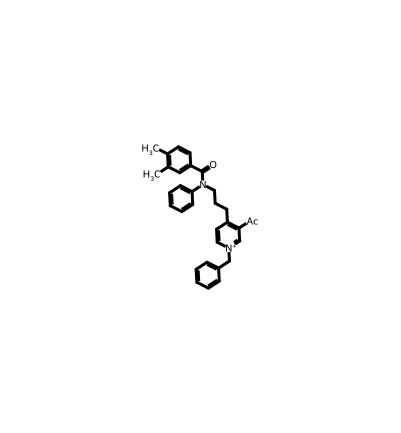 CC(=O)c1c[n+](Cc2ccccc2)ccc1CCCN(C(=O)c1ccc(C)c(C)c1)c1ccccc1